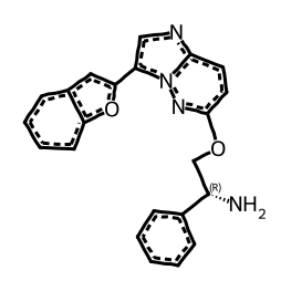 N[C@@H](COc1ccc2ncc(-c3cc4ccccc4o3)n2n1)c1ccccc1